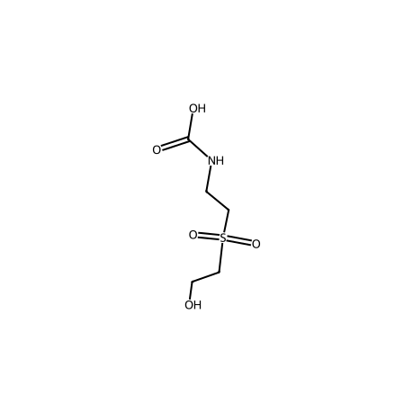 O=C(O)NCCS(=O)(=O)CCO